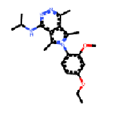 CCOc1ccc(-n2c(C)c3c(C)nnc(NC(C)C)c3c2C)c(OC)c1